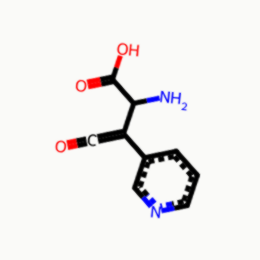 NC(C(=O)O)C(=C=O)c1cccnc1